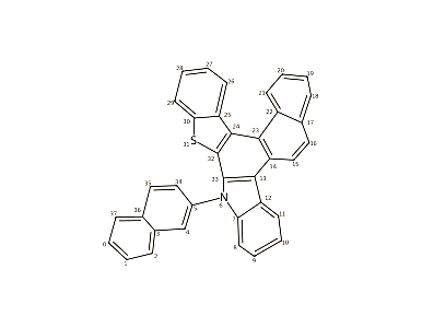 c1ccc2cc(-n3c4ccccc4c4c5ccc6ccccc6c5c5c6ccccc6sc5c43)ccc2c1